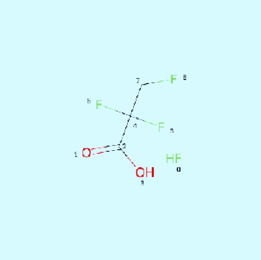 F.O=C(O)C(F)(F)CF